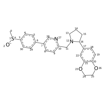 C[S+]([O-])c1ccc(-c2ccc(CN3CCCC3c3ccc4c(c3)OCCO4)nc2)cc1